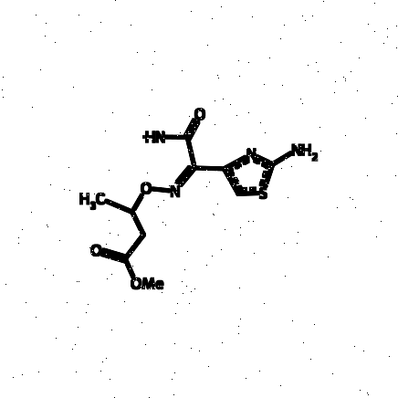 COC(=O)CC(C)ON=C(C([NH])=O)c1csc(N)n1